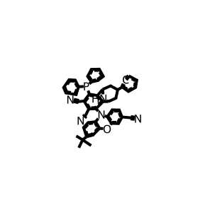 CC(C)(C)c1ccc2c(c1)Oc1cc(C#N)ccc1N2c1c(C#N)c(C#N)c(P(c2ccccc2)c2ccccc2)c2c1C1CC(c3ccccc3)CC2N1